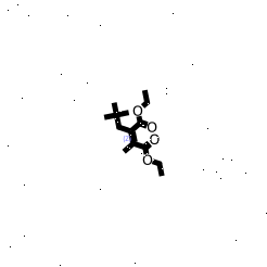 CCOC(=O)/C(C)=C(/CC(C)(C)C)C(=O)OCC